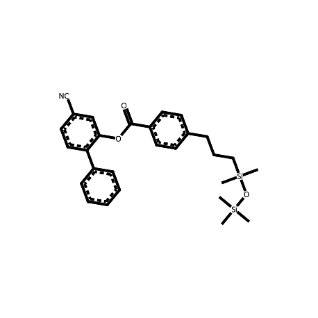 C[Si](C)(C)O[Si](C)(C)CCCc1ccc(C(=O)Oc2cc(C#N)ccc2-c2ccccc2)cc1